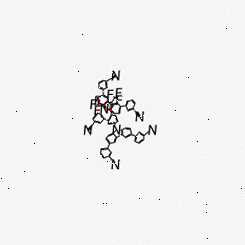 N#Cc1cccc(-c2ccc3c(c2)c2cc(-c4cccc(C#N)c4)ccc2n3-c2ccc(-c3cc(C(F)(F)F)cc(C(F)(F)F)c3)c(-c3cc(C#N)ccc3-n3c4ccc(-c5cccc(C#N)c5)cc4c4cc(-c5cccc(C#N)c5)ccc43)c2)c1